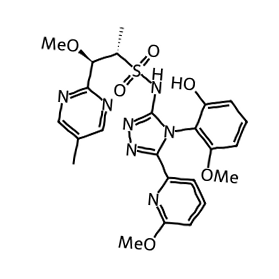 COC1=NC(c2nnc(NS(=O)(=O)[C@@H](C)[C@H](OC)c3ncc(C)cn3)n2-c2c(O)cccc2OC)=C=C=C1